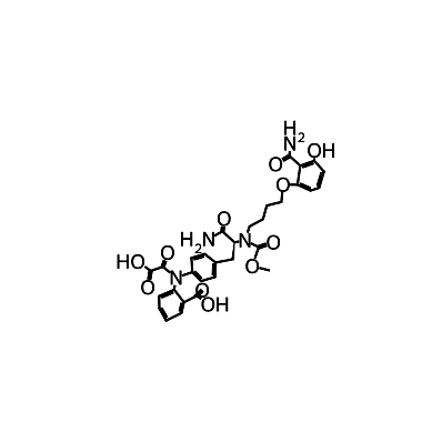 COC(=O)N(CCCCOc1cccc(O)c1C(N)=O)[C@@H](Cc1ccc(N(C(=O)C(=O)O)c2ccccc2C(=O)O)cc1)C(N)=O